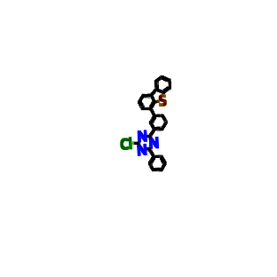 Clc1nc(C2=CCCC(c3cccc4c3sc3ccccc34)=C2)nc(-c2ccccc2)n1